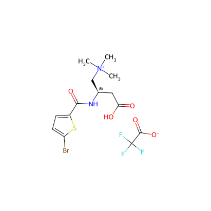 C[N+](C)(C)C[C@@H](CC(=O)O)NC(=O)c1ccc(Br)s1.O=C([O-])C(F)(F)F